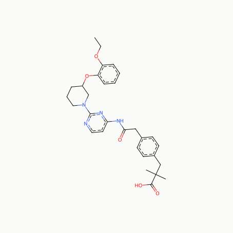 CCOc1ccccc1OC1CCCN(c2nccc(NC(=O)Cc3ccc(CC(C)(C)C(=O)O)cc3)n2)C1